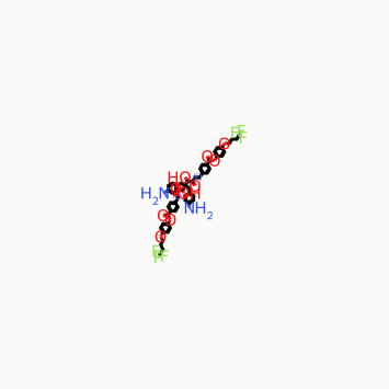 Nc1ccc(CC(Cc2ccc(N)cc2)(C(O)C(=O)/C=C/c2ccc(C(=O)Oc3ccc(OCCCC(F)(F)F)cc3)cc2)C(O)C(=O)/C=C/c2ccc(C(=O)Oc3ccc(OCCCC(F)(F)F)cc3)cc2)cc1